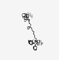 CC1(C)C2CC[C@]1(C)[C@H](OC(=O)CCCC(=O)CCCCCCCC(C)(C)[Si](O)(c1ccccc1)c1ccccc1)C2